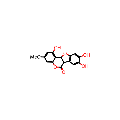 COc1cc(O)c2c(c1)OC(=O)C1c3cc(O)c(O)cc3OC21